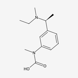 CCN(C)[C@@H](C)c1cccc(N(C)C(=O)O)c1